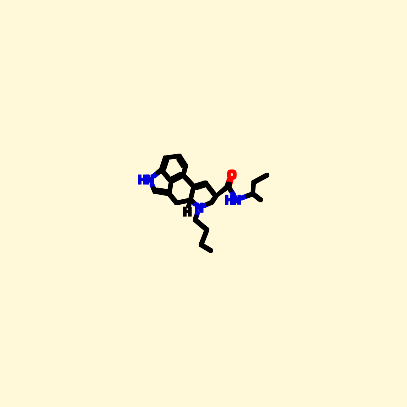 CCCCN1C[C@H](C(=O)NC(C)CC)C=C2c3cccc4[nH]cc(c34)C[C@H]21